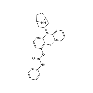 O=C(Nc1ccccc1)Oc1cccc2c1Oc1ccccc1C2=C1CC2CCC(C1)N2